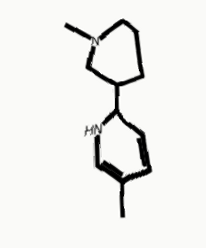 CC1=CNC(C2CCCN(C)C2)C=C1